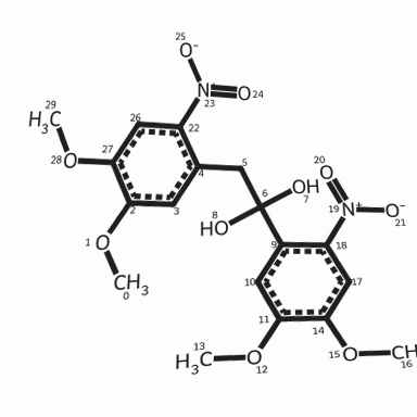 COc1cc(CC(O)(O)c2cc(OC)c(OC)cc2[N+](=O)[O-])c([N+](=O)[O-])cc1OC